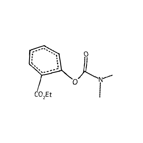 CCOC(=O)c1ccccc1OC(=O)N(C)C